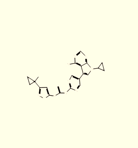 CC1(c2cc(NC(=O)Nc3ncc(-c4cn(C5CC5)c5ncnc(N)c45)cn3)on2)CC1